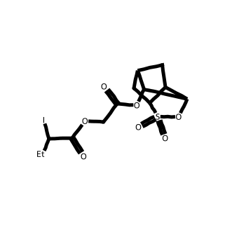 CCC(I)C(=O)OCC(=O)OC1C2CC3C1OS(=O)(=O)C3C2